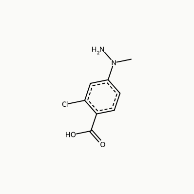 CN(N)c1ccc(C(=O)O)c(Cl)c1